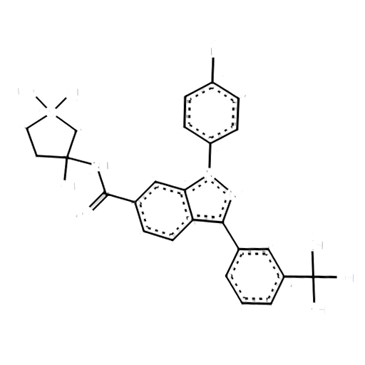 CC1(NC(=O)c2ccc3c(-c4cccc(C(C)(C)O)c4)nn(-c4ccc(F)cc4)c3c2)CCS(O)(O)C1